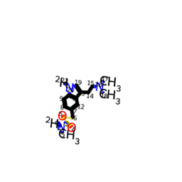 [2H]N(C)S(=O)(=O)Cc1ccc2c(c1)c(CCN(C)C)cn2[2H]